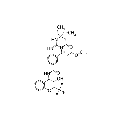 CCC1(CC)CC(=O)N([C@H](CCOC)c2cccc(C(=O)NC3c4ccccc4OC(C(F)(F)F)C3O)c2)C(=N)N1